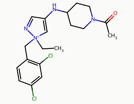 CC[N+]1(Cc2ccc(Cl)cc2Cl)C=C(NC2CCN(C(C)=O)CC2)C=N1